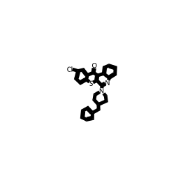 O=c1c2cc(Cl)ccc2sc2c(N3CCC(Cc4ccccc4)CC3)nc3ccccc3c12